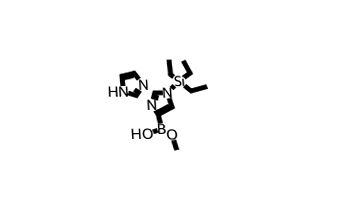 CC[Si](CC)(CC)n1cnc(B(O)OC)c1.c1c[nH]cn1